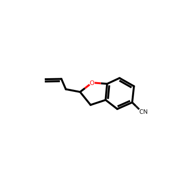 C=CCC1Cc2cc(C#N)ccc2O1